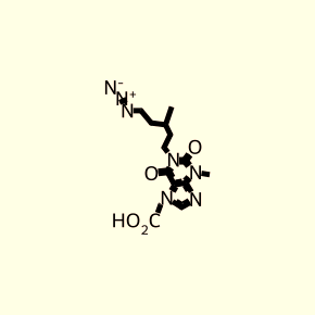 CC(CCN=[N+]=[N-])CCn1c(=O)c2c(ncn2CC(=O)O)n(C)c1=O